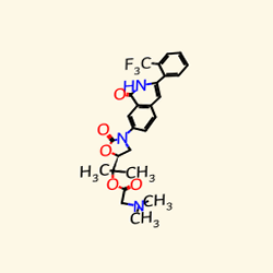 CN(C)CC(=O)OC(C)(C)[C@@H]1CN(c2ccc3cc(-c4ccccc4C(F)(F)F)[nH]c(=O)c3c2)C(=O)O1